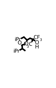 CC(C)CC(CC(O)(C(F)(F)F)C(F)(F)F)OC(=O)C(C)C(C)C